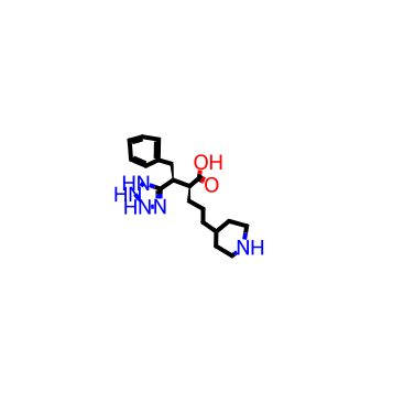 O=C(O)[C@@H](CCCC1CCNCC1)[C@H](Cc1ccccc1)C1=NNNN1